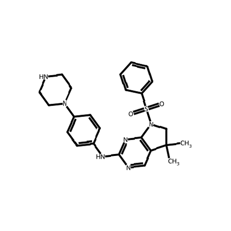 CC1(C)CN(S(=O)(=O)c2ccccc2)c2nc(Nc3ccc(N4CCNCC4)cc3)ncc21